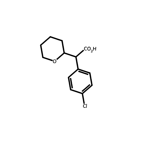 O=C(O)C(c1ccc(Cl)cc1)C1CCCCO1